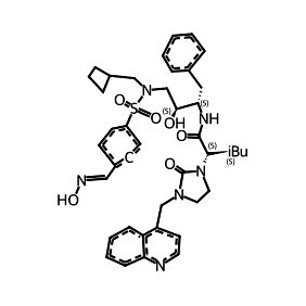 CC[C@H](C)[C@@H](C(=O)N[C@@H](Cc1ccccc1)[C@@H](O)CN(CC1CCC1)S(=O)(=O)c1ccc(C=NO)cc1)N1CCN(Cc2ccnc3ccccc23)C1=O